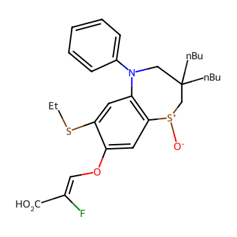 CCCCC1(CCCC)CN(c2ccccc2)c2cc(SCC)c(O/C=C(\F)C(=O)O)cc2[S+]([O-])C1